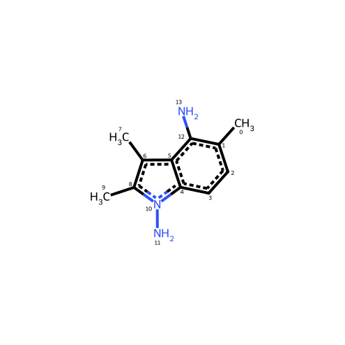 Cc1ccc2c(c(C)c(C)n2N)c1N